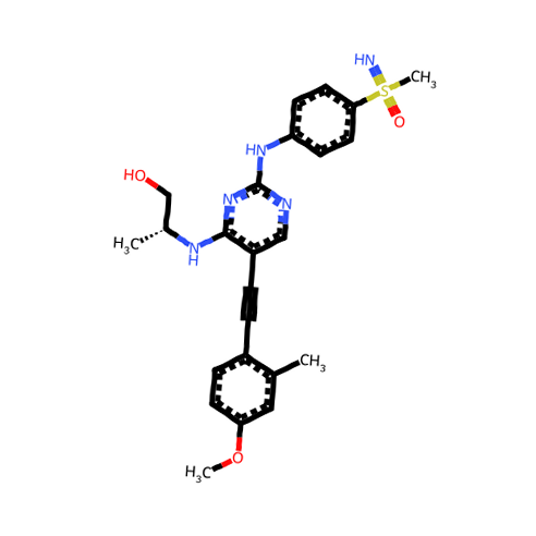 COc1ccc(C#Cc2cnc(Nc3ccc(S(C)(=N)=O)cc3)nc2N[C@H](C)CO)c(C)c1